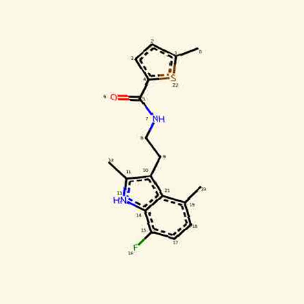 Cc1ccc(C(=O)NCCc2c(C)[nH]c3c(F)ccc(C)c23)s1